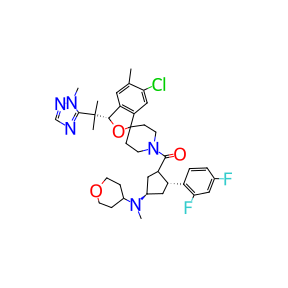 Cc1cc2c(cc1Cl)C1(CCN(C(=O)C3C[C@H](N(C)C4CCOCC4)C[C@H]3c3ccc(F)cc3F)CC1)O[C@@H]2C(C)(C)c1ncnn1C